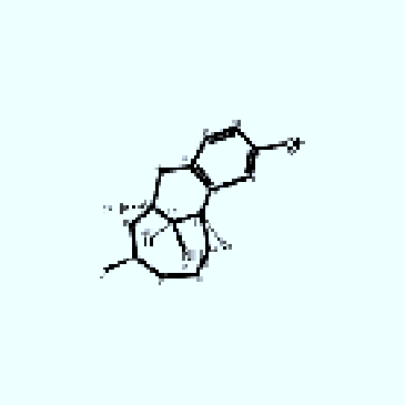 C[C@@H]1CCC[C@]2(C)c3cc(O)ccc3C[C@H](C1)[C@@H]2N